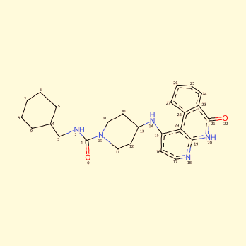 O=C(NCC1CCCCC1)N1CCC(Nc2ccnc3[nH]c(=O)c4ccccc4c23)CC1